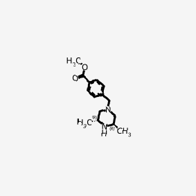 COC(=O)c1ccc(CN2C[C@@H](C)N[C@H](C)C2)cc1